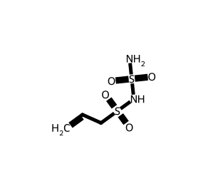 C=CCS(=O)(=O)NS(N)(=O)=O